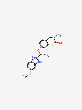 CSc1ccc2nc(C(C)Oc3ccc(CC(C)C(O)=S)cc3)[nH]c2c1